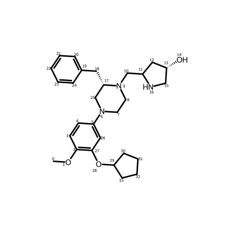 COc1ccc(N2CCN(CC3C[C@H](O)CN3)[C@@H](Cc3ccccc3)C2)cc1OC1CCCC1